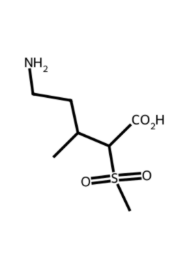 CC(CCN)C(C(=O)O)S(C)(=O)=O